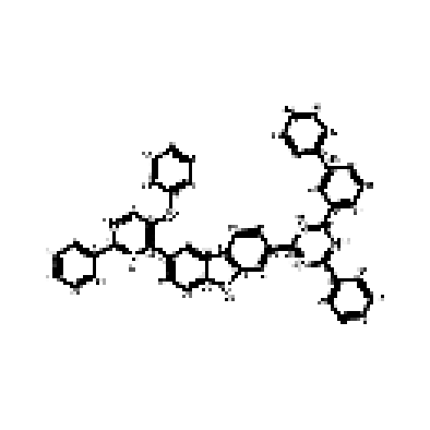 c1ccc(Sc2cnc(-c3ccccc3)nc2-c2ccc3oc4cc(-c5nc(-c6ccccc6)nc(-c6cccc(-c7ccccc7)c6)n5)ccc4c3c2)cc1